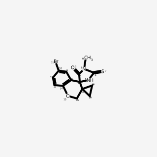 CN1C(=O)C2(NC1=S)c1cc(Br)ccc1OCC21CC1